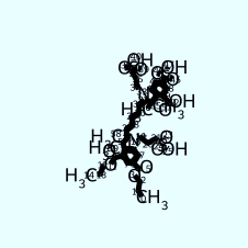 CCCOC(=O)c1cc(C(=O)OCCC)c2c(c1)[N+](CCCS(=O)(=O)O)=C(/C=C/C=C/C=C1/N(CCCS(=O)(=O)O)c3cc(S(=O)(=O)O)cc(C(=O)O)c3C1(C)C)C2(C)C